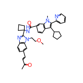 COCCn1c(C2(NC(=O)c3ccc4c(C5CCCC5)c(-c5ccccn5)n(C)c4c3)CCC2)nc2ccc(/C=C/C(C)=O)cc21